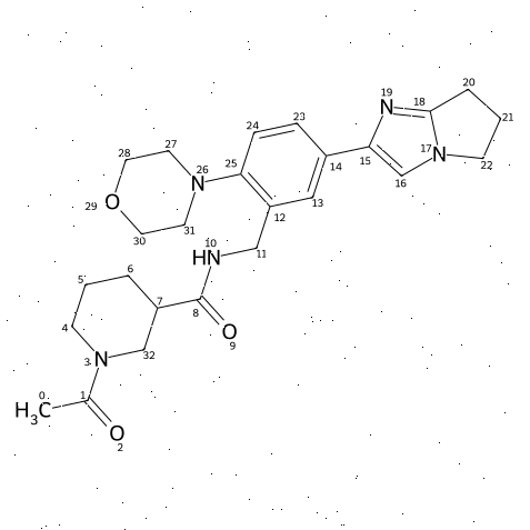 CC(=O)N1CCCC(C(=O)NCc2cc(-c3cn4c(n3)CCC4)ccc2N2CCOCC2)C1